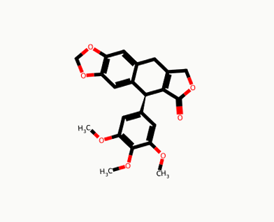 COc1cc([C@@H]2C3=C(COC3=O)Cc3cc4c(cc32)OCO4)cc(OC)c1OC